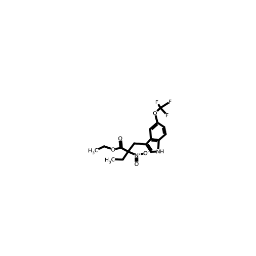 CCOC(=O)C(CC)(Cc1c[nH]c2ccc(OC(F)(F)F)cc12)[N+](=O)[O-]